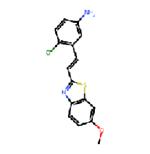 COc1ccc2nc(C=Cc3cc(N)ccc3Cl)sc2c1